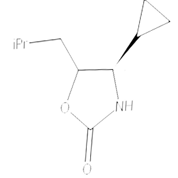 CC(C)CC1OC(=O)N[C@@H]1C1CC1